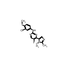 CSc1ccc(Nc2ncc(F)c(-c3cnc(C)n3C)n2)cc1Cl